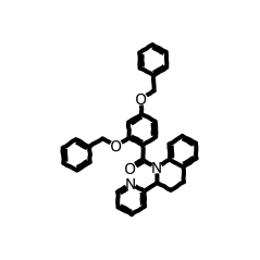 O=C(c1ccc(OCc2ccccc2)cc1OCc1ccccc1)N1c2ccccc2CCC1c1ccccn1